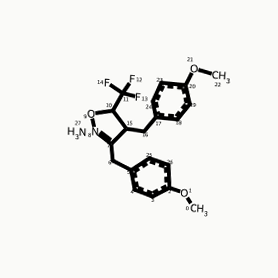 COc1ccc(CC2=NOC(C(F)(F)F)C2Cc2ccc(OC)cc2)cc1.N